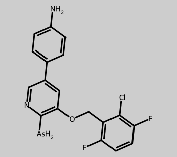 Nc1ccc(-c2cnc([AsH2])c(OCc3c(F)ccc(F)c3Cl)c2)cc1